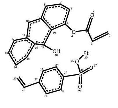 C=CC(=O)Oc1cccc2cc3ccccc3c(O)c12.C=Cc1ccc(S(=O)(=O)OCC)cc1